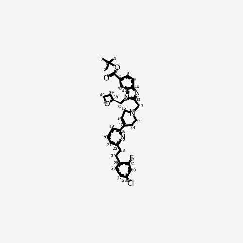 CC(C)(C)OC(=O)c1ccc2nc(CN3CC=C(c4cccc(CCc5ccc(Cl)cc5F)n4)CC3)n(C[C@@H]3CCO3)c2c1